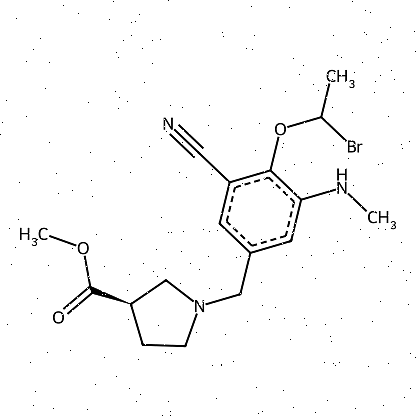 CNc1cc(CN2CC[C@@H](C(=O)OC)C2)cc(C#N)c1OC(C)Br